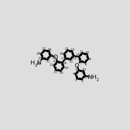 Nc1cccc(Oc2ccccc2-c2cccc(-c3ccccc3Oc3cccc(N)c3)c2)c1